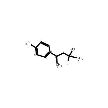 Cc1ccc(C(C)CC([SiH3])(Cl)Cl)cc1